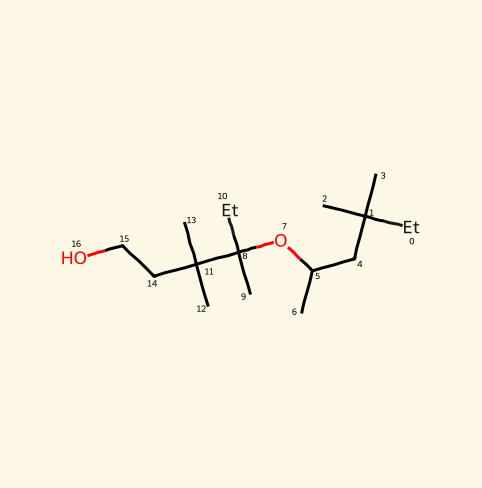 CCC(C)(C)CC(C)OC(C)(CC)C(C)(C)CCO